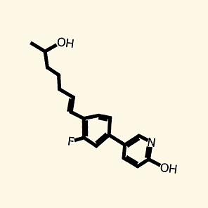 CC(O)CCCC=Cc1ccc(-c2ccc(O)nc2)cc1F